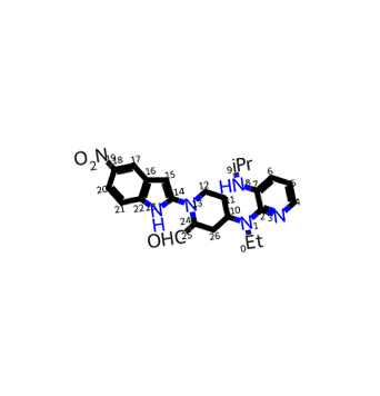 CCN(c1ncccc1NC(C)C)C1CCN(c2cc3cc([N+](=O)[O-])ccc3[nH]2)C(C=O)C1